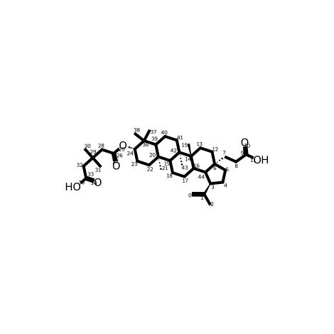 C=C(C)[C@@H]1CC[C@]2(CCC(=O)O)CC[C@]3(C)C(CCC4[C@@]5(C)CC[C@H](OC(=O)CC(C)(C)CC(=O)O)C(C)(C)C5CC[C@]43C)C12